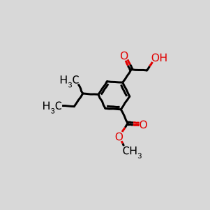 CCC(C)c1cc(C(=O)CO)cc(C(=O)OC)c1